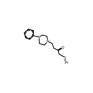 CC(C)SCC(=O)CCN1CCN(c2ccccc2)CC1